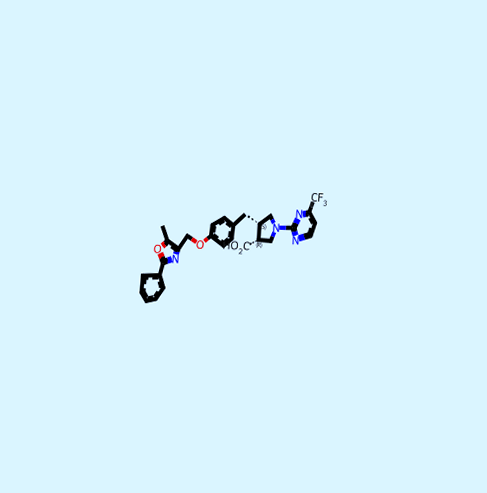 Cc1oc(-c2ccccc2)nc1COc1ccc(C[C@@H]2CN(c3nccc(C(F)(F)F)n3)C[C@@H]2C(=O)O)cc1